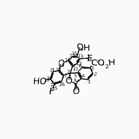 O=C(O)c1ccc2c(c1)C1(OC2=O)c2cc(F)c(O)cc2Oc2cc(O)c(F)cc21